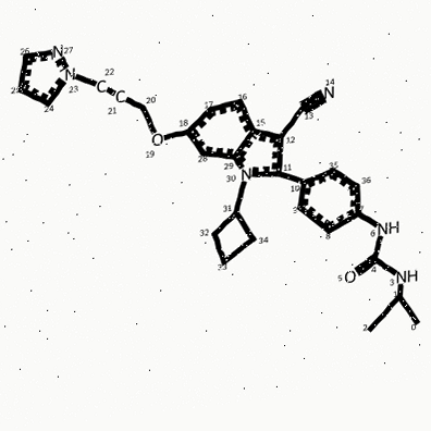 CC(C)NC(=O)Nc1ccc(-c2c(C#N)c3ccc(OCCCn4cccn4)cc3n2C2CCC2)cc1